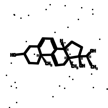 C[C@H](O)[C@@]1(O)CC[C@H]2C3=CC=C4CC(O)CC[C@]4(C)C3=CC[C@@]21C